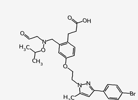 Cc1cc(-c2ccc(Br)cc2)nn1CCOc1ccc(CCC(=O)O)c(CN(CC=O)OC(C)C)c1